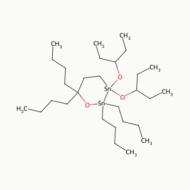 CCCCC1(CCCC)C[CH2][Sn]([O]C(CC)CC)([O]C(CC)CC)[Sn]([CH2]CCC)([CH2]CCC)[O]1